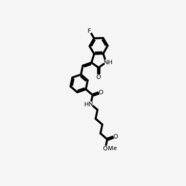 COC(=O)CCCCNC(=O)c1cccc(C=C2C(=O)Nc3ccc(F)cc32)c1